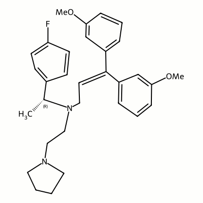 COc1cccc(C(=CCN(CCN2CCCC2)[C@H](C)c2ccc(F)cc2)c2cccc(OC)c2)c1